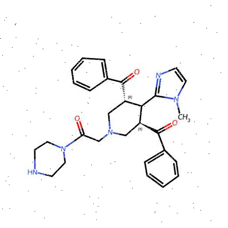 Cn1ccnc1C1[C@@H](C(=O)c2ccccc2)CN(CC(=O)N2CCNCC2)C[C@@H]1C(=O)c1ccccc1